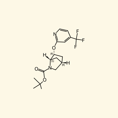 CC(C)(C)OC(=O)N1C[C@H]2C[C@@H](Oc3cc(C(F)(F)F)ccn3)[C@@H]1C2